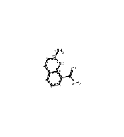 [CH2]C(=O)c1cccc2ccc(N)nc12